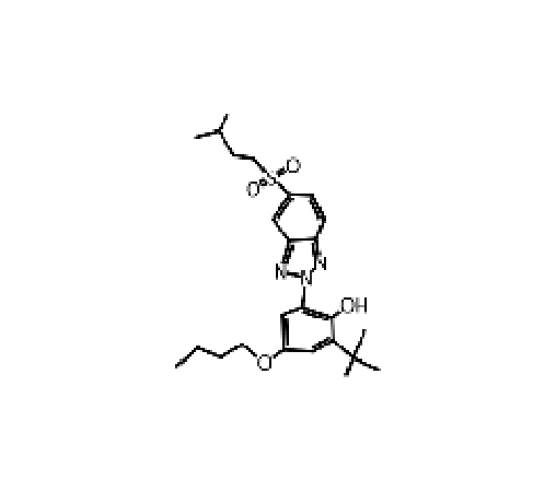 CCCCOc1cc(-n2nc3ccc(S(=O)(=O)CCC(C)C)cc3n2)c(O)c(C(C)(C)C)c1